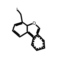 ICC1=CC=CC2=c3ccccc3=COC12